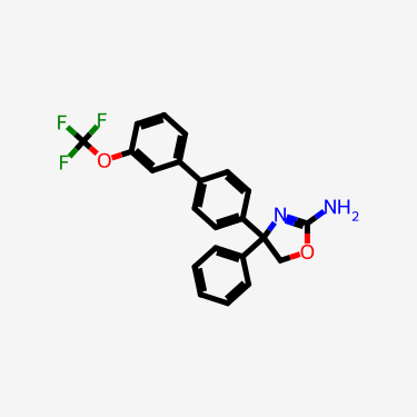 NC1=NC(c2ccccc2)(c2ccc(-c3cccc(OC(F)(F)F)c3)cc2)CO1